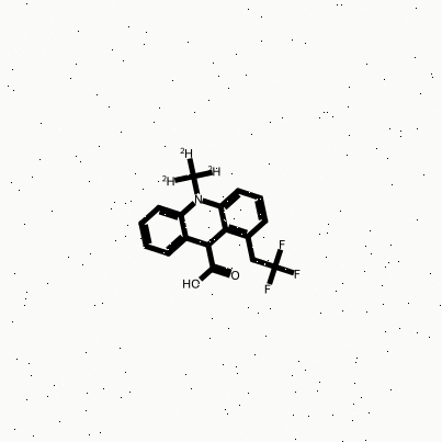 [2H]C([2H])([2H])N1c2ccccc2C(C(=O)O)c2c(CC(F)(F)F)cccc21